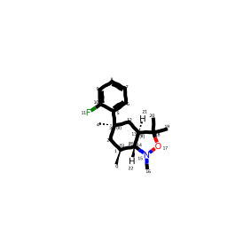 C[C@H]1C[C@@](C)(c2ccccc2F)C[C@@H]2[C@@H]1N(C)OC2(C)C